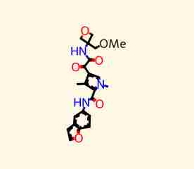 COCC1(NC(=O)C(=O)c2cn(C)c(C(=O)Nc3ccc4occc4c3)c2C)COC1